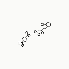 O=C(C=Cc1ccccc1Cl)CC(=O)OCCOC(=O)c1ccc([N+](=O)[O-])cc1